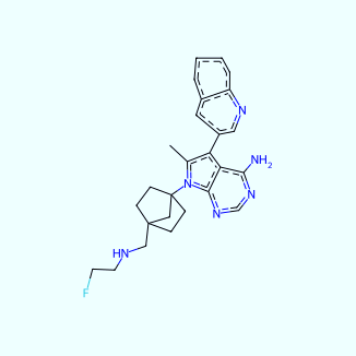 Cc1c(-c2cnc3ccccc3c2)c2c(N)ncnc2n1C12CCC(CNCCF)(CC1)C2